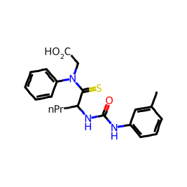 CCCC(NC(=O)Nc1cccc(C)c1)C(=S)N(CC(=O)O)c1ccccc1